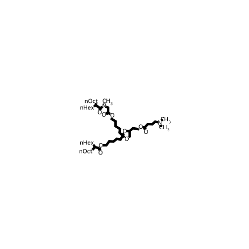 CCCCCCCCC(CCCCCC)C(=O)OCCCCCC1(CCCCCOC(=O)CN(C)C(=O)C(CCCCCC)CCCCCCCC)OCC(CCOC(=O)CCCN(C)C)O1